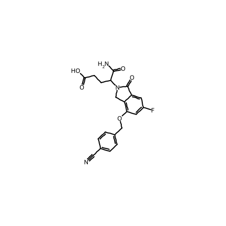 N#Cc1ccc(COc2cc(F)cc3c2CN(C(CCC(=O)O)C(N)=O)C3=O)cc1